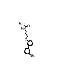 CC(=O)NCCCOc1cccc(-c2cccc(N)c2)c1